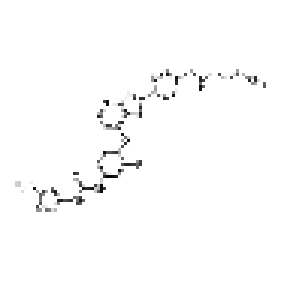 COCCNCc1ccc(-c2cc3nccc(Oc4ccc(NC(=O)Nc5coc(C)c5)cc4F)c3s2)nc1